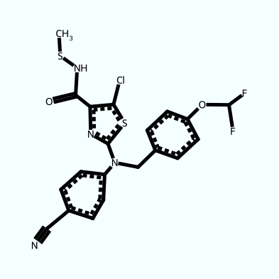 CSNC(=O)c1nc(N(Cc2ccc(OC(F)F)cc2)c2ccc(C#N)cc2)sc1Cl